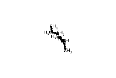 CCCCCCCOC1C=CC(c2ccc([SiH2]CC(C)CCCCCC(C)CCCCC)nn2)=CN1